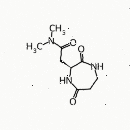 CN(C)C(=O)C[C@@H]1NC(=O)CCNC1=O